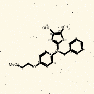 COCCOc1ccc(N(Cc2ccccc2)c2nc(C=O)c(C)s2)cc1